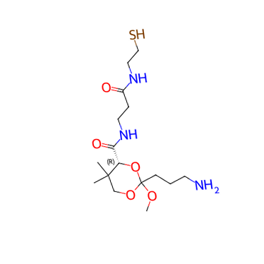 COC1(CCCN)OCC(C)(C)[C@H](C(=O)NCCC(=O)NCCS)O1